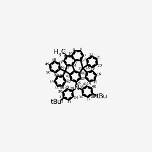 Cc1cc2c3c4c(cccc14)C(c1ccccc1)(c1ccccc1)c1cc(N(c4ccc(C(C)(C)C)cc4)c4ccc(C(C)(C)C)cc4)cc(c1-3)C2(c1ccccc1)c1ccccc1